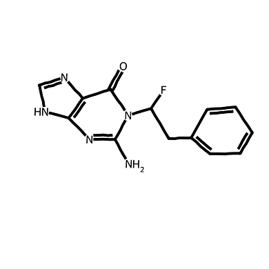 Nc1nc2[nH]cnc2c(=O)n1C(F)Cc1ccccc1